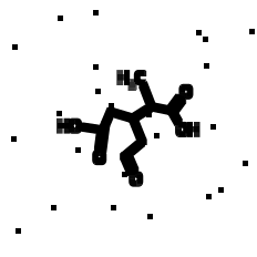 CC(C(=O)O)C(CC=O)CC(=O)O